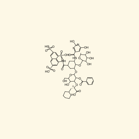 CC1OC(OC2C(NC(=O)c3cc(O)nc(O)n3)CC(C(=O)Nc3cc(S(=O)(=O)O)cc4cc(S(=O)(=O)O)cc(S(=O)(=O)O)c34)CC2OC2OC(CO)C(O)C(O[C@@H](CC3CCCCC3)C(=O)O)C2OC(=O)c2ccccc2)C(O)C(O)C1O